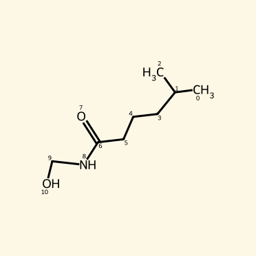 CC(C)CCCC(=O)NCO